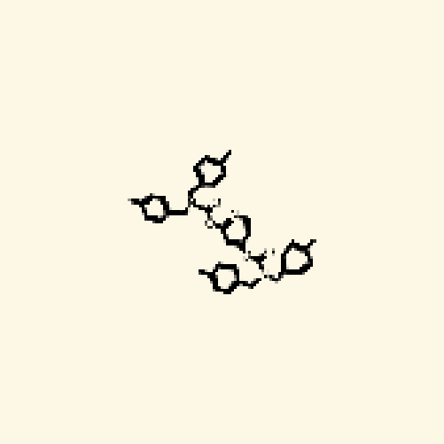 Cc1ccc(CN(Cc2ccc(C)cc2)C(=O)Oc2ccnc(OC(=O)N(Cc3ccc(C)cc3)Cc3ccc(C)cc3)c2)cc1